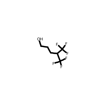 OCCC[C](C(F)(F)F)C(F)(F)F